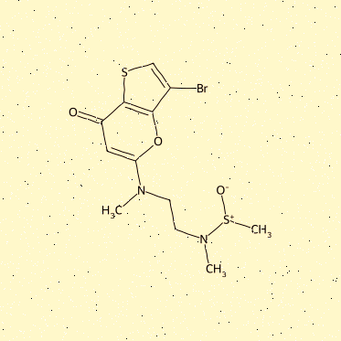 CN(CCN(C)[S+](C)[O-])c1cc(=O)c2scc(Br)c2o1